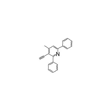 C#Cc1c(C)cc(-c2ccccc2)nc1-c1ccccc1